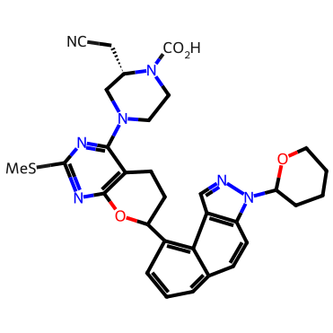 CSc1nc2c(c(N3CCN(C(=O)O)[C@@H](CC#N)C3)n1)CCC(c1cccc3ccc4c(cnn4C4CCCCO4)c13)O2